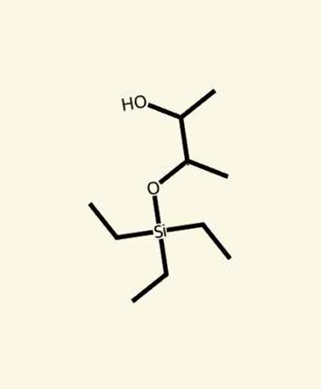 CC[Si](CC)(CC)O[C](C)C(C)O